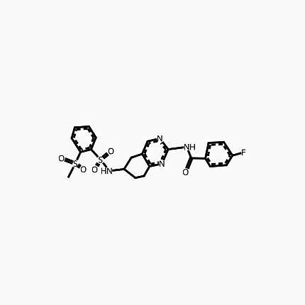 CS(=O)(=O)c1ccccc1S(=O)(=O)NC1CCc2nc(NC(=O)c3ccc(F)cc3)ncc2C1